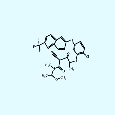 COC(C)N(C)C(=O)C(C#N)C(=O)C(C)Oc1cc(Oc2ccc3cc(C(F)(F)F)ccc3c2)ccc1Cl